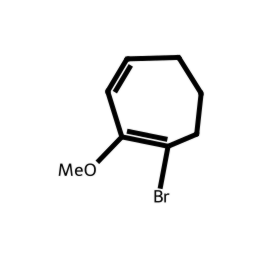 COC1=C(Br)CCCC=C1